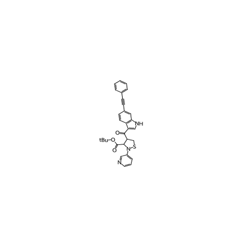 CC(C)(C)OC(=O)C1C(C(=O)c2c[nH]c3cc(C#Cc4ccccc4)ccc23)CSN1c1cccnc1